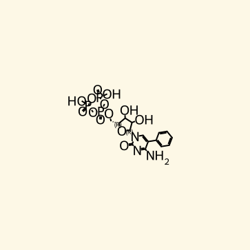 Nc1nc(=O)n([C@@H]2O[C@H](COP3(=O)OP(=O)(O)OP(=O)(O)O3)C(O)C2O)cc1-c1ccccc1